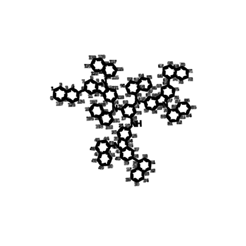 c1ccc2cc(-c3ccc4c(c3)c3cc(N(c5cc(Nc6ccc7c(c6)c6cc(-c8cccc9ccccc89)ccc6n7-c6cccc7ccccc67)cc(N(c6ccc7c(c6)c6cc(-c8cccc9ccccc89)ccc6n7-c6cccc7ccccc67)c6cccc7ccccc67)c5)c5cccc6ccccc56)ccc3n4-c3cccc4ccccc34)ccc2c1